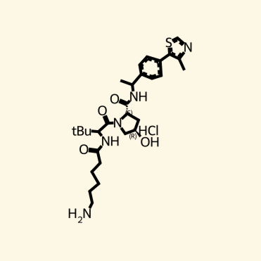 Cc1ncsc1-c1ccc(C(C)NC(=O)[C@@H]2C[C@@H](O)CN2C(=O)C(NC(=O)CCCCCN)C(C)(C)C)cc1.Cl